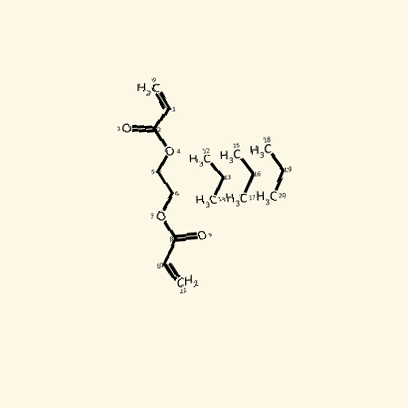 C=CC(=O)OCCOC(=O)C=C.CCC.CCC.CCC